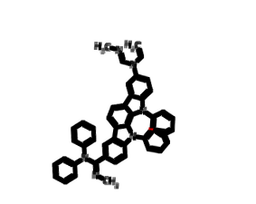 C=CN(/C=N/C)c1ccc2c(c1)c1ccc3c4cc(/C(=N\C)N(c5ccccc5)c5ccccc5)ccc4n(-c4ccccc4)c3c1n2-c1ccccc1